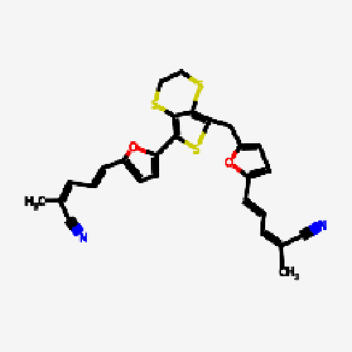 C/C(C#N)=C/C=C/c1ccc(Cc2sc(-c3ccc(/C=C/C=C(/C)C#N)o3)c3c2SCCS3)o1